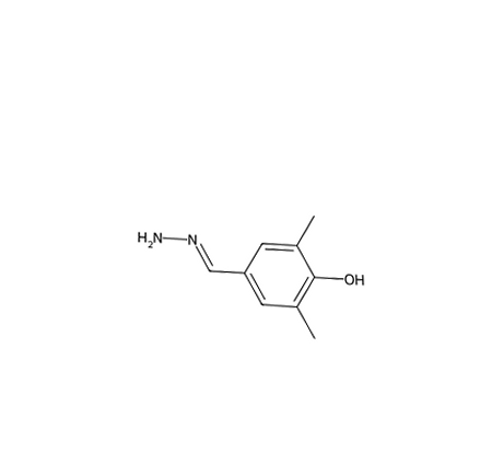 Cc1cc(C=NN)cc(C)c1O